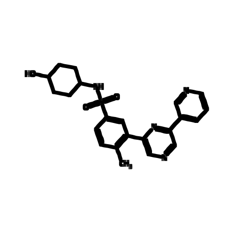 Cc1ccc(S(=O)(=O)NC2CCC(O)CC2)cc1-c1cncc(-c2cccnc2)n1